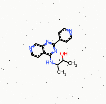 CC(O)C(C)Nc1nc(-c2ccncc2)nc2cnccc12